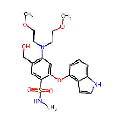 CNS(=O)(=O)c1cc(CO)c(N(CCOC)CCOC)cc1Oc1cccc2[nH]ccc12